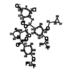 O=C(OC(Cc1c(Cl)c[n+]([O-])cc1Cl)c1ccc(OC(F)F)c(OCC2CC2)c1)C1SCCN1S(=O)(=O)c1ccc(OC(F)F)cc1